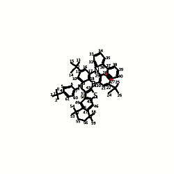 CC(C)(C)c1ccc(N2c3cc(C(C)(C)C)cc4c3B(c3cc(C(C)(C)C)ccc3N4c3ccccc3-c3ccccc3)c3sc4cc5c(cc4c32)C(C)(C)CCC5(C)C)cc1